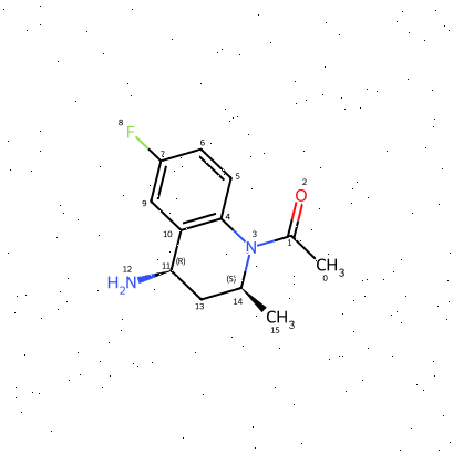 CC(=O)N1c2ccc(F)cc2[C@H](N)C[C@@H]1C